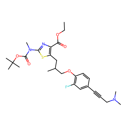 CCOC(=O)c1nc(N(C)C(=O)OC(C)(C)C)sc1CC(C)COc1ccc(C#CCN(C)C)cc1F